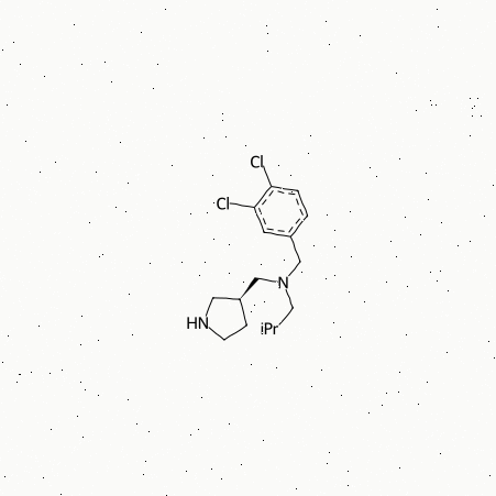 CC(C)CN(Cc1ccc(Cl)c(Cl)c1)C[C@H]1CCNC1